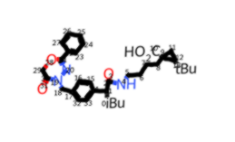 CCC(C)C(C(=O)NCCCCC1(C(=O)O)CC1C(C)(C)C)c1ccc(CN2N=C(c3ccccc3)OCC2=O)cc1